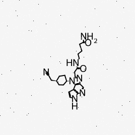 N#CC[C@H]1CC[C@H](n2c(CC(=O)NCCCCC(N)=O)nc3cnc4[nH]ccc4c32)CC1